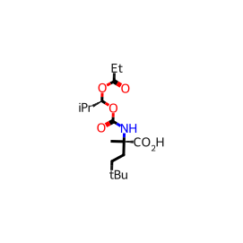 CCC(=O)O[C@@H](OC(=O)N[C@@](C)(CCC(C)(C)C)C(=O)O)C(C)C